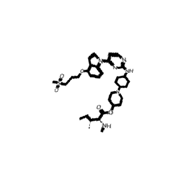 CC[C@@H](C)[C@@H](NC)C(=O)OC1CCN(C2CCC(Nc3nccc(-n4ccc5c(OCCCS(C)(=O)=O)cccc54)n3)CC2)CC1